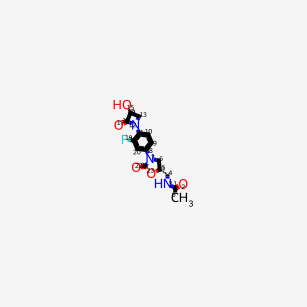 CC(=O)NC[C@H]1CN(c2ccc(N3C[C@H](O)C3=O)c(F)c2)C(=O)O1